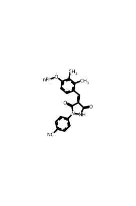 CCCOc1ccc(/C=C2/C(=O)NN(c3ccc(C#N)cc3)C2=O)c(C)c1C